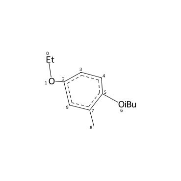 CCOc1ccc(OCC(C)C)c(C)c1